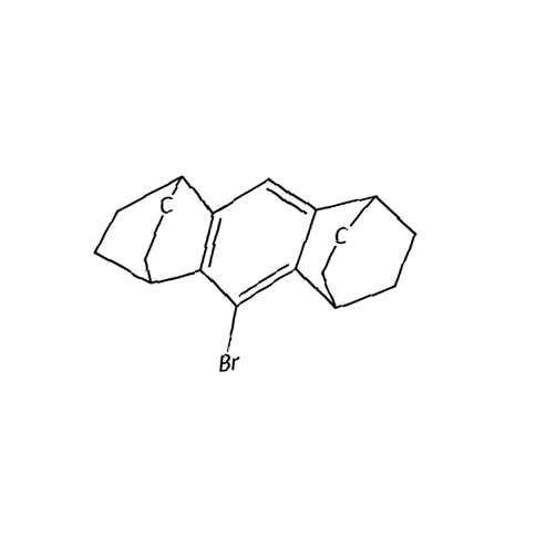 Brc1c2c(cc3c1C1CCC3CC1)C1CCC2CC1